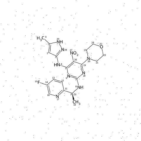 Cc1cc(Nc2nc(N[C@@H](C)c3ccc(F)cn3)nc(N3CCOCC3)c2[N+](=O)[O-])n[nH]1